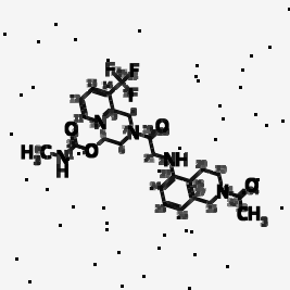 CNC(=O)OCCN(Cc1ncccc1C(F)(F)F)C(=O)CNc1cccc2c1CCN(C(C)=O)C2